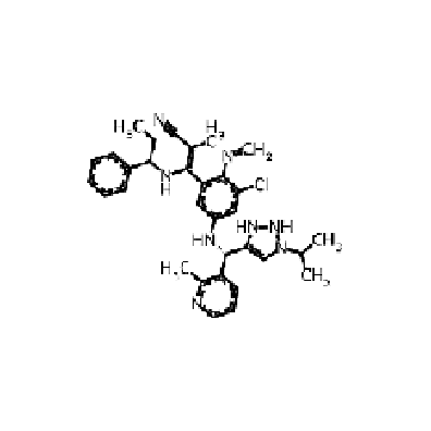 C=Nc1c(Cl)cc(N[C@H](C2=CN(C(C)C)NN2)c2cccnc2C)cc1/C(N[C@H](CC)c1ccccc1)=C(\C)C#N